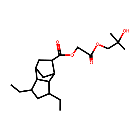 CCC1CC(CC)C2C3CC(CC3C(=O)OCC(=O)OCC(C)(C)O)C12